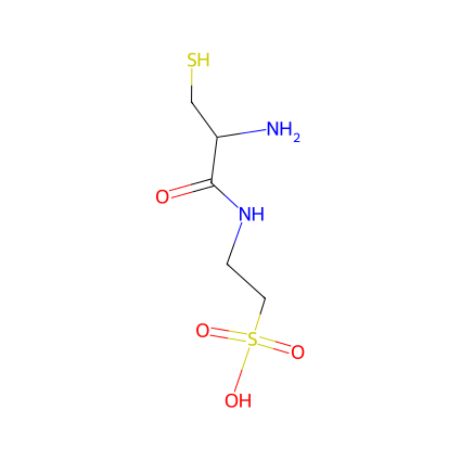 NC(CS)C(=O)NCCS(=O)(=O)O